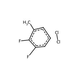 Cc1cccc(F)c1F.ClCl